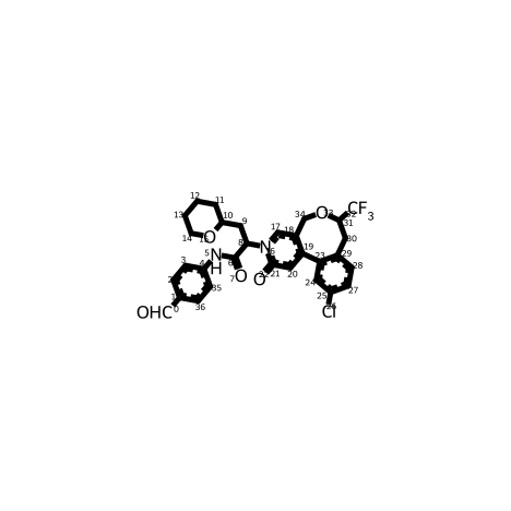 O=Cc1ccc(NC(=O)C(CC2CCCCO2)n2cc3c(cc2=O)-c2cc(Cl)ccc2CC(C(F)(F)F)OC3)cc1